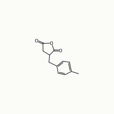 Cc1ccc(CC2CC(=O)OC2=O)cc1